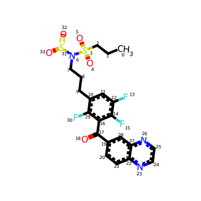 CCCS(=O)(=O)N(CCCc1cc(F)c(F)c(C(=O)c2ccc3nccnc3c2)c1F)[SH](=O)=O